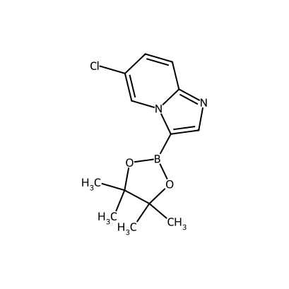 CC1(C)OB(c2cnc3ccc(Cl)cn23)OC1(C)C